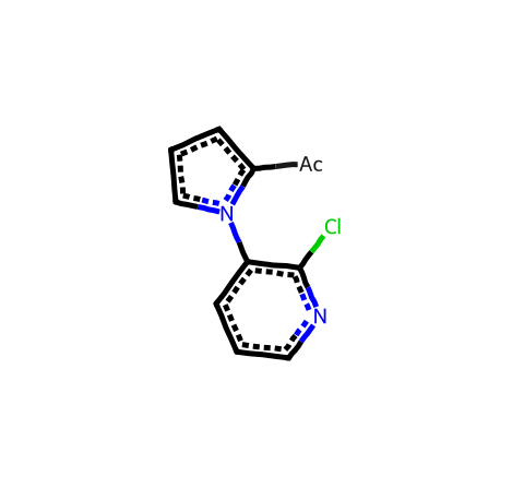 CC(=O)c1cccn1-c1cccnc1Cl